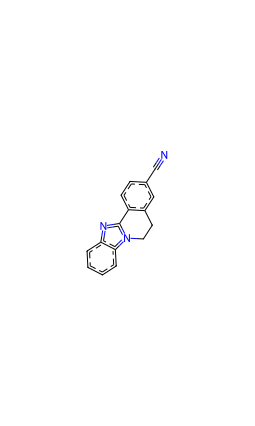 N#Cc1ccc2c(c1)CCn1c-2nc2ccccc21